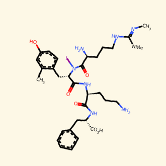 C/N=C(\NC)NCCC[C@H](N)C(=O)N(I)[C@@H](Cc1ccc(O)cc1C)C(=O)N[C@@H](CCCN)C(=O)N[C@@H](Cc1ccccc1)C(=O)O